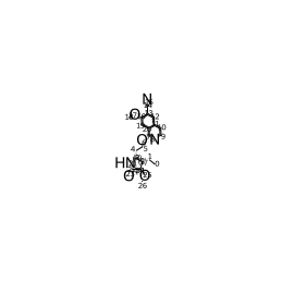 CC[C@H]1[C@@H](CCOc2nccc3cc(C#N)c(OC)cc23)NC(=O)[C@@H]1OC